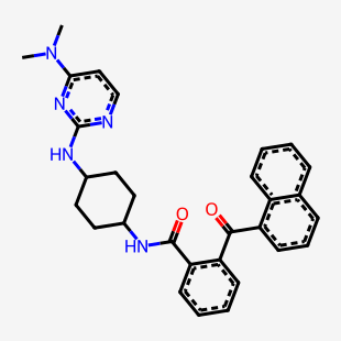 CN(C)c1ccnc(NC2CCC(NC(=O)c3ccccc3C(=O)c3cccc4ccccc34)CC2)n1